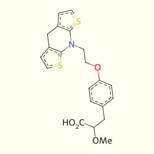 COC(Cc1ccc(OCCN2c3sccc3Cc3ccsc32)cc1)C(=O)O